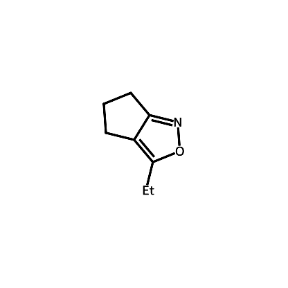 CCc1onc2c1CCC2